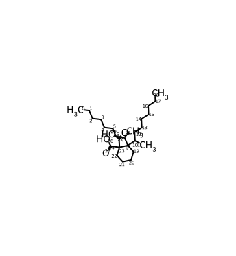 CCCCCCCC(C)C1(C(C)CCCCCCC)CCCCC1(C(=O)O)C(=O)O